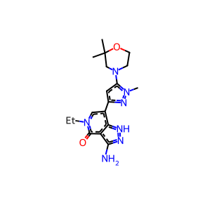 CCn1cc(-c2cc(N3CCOC(C)(C)C3)n(C)n2)c2[nH]nc(N)c2c1=O